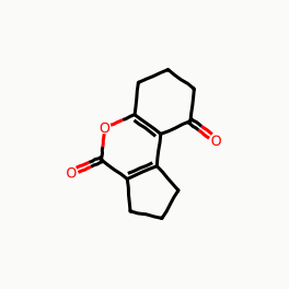 O=C1CCCc2oc(=O)c3c(c21)CCC3